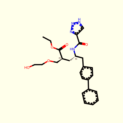 CCOC(=O)[C@H](COCCO)C[C@@H](Cc1ccc(-c2ccccc2)cc1)NC(=O)c1c[nH]nn1